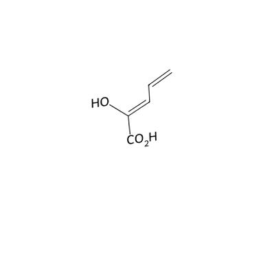 C=CC=C(O)C(=O)O